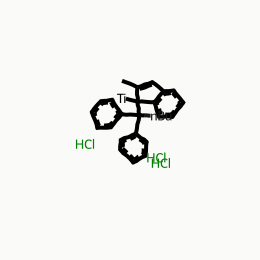 CCCCC(c1ccccc1)(c1ccccc1)[C]1([Ti])C(C)=Cc2ccccc21.Cl.Cl.Cl